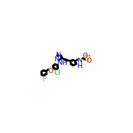 CS(=O)(=O)CCNCc1cccc(C#Cc2cncnc2Nc2ccc(OCc3cccc(F)c3)c(Cl)c2)c1